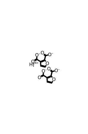 O=C([O-])c1ccoc1C(=O)[O-].O=C([O-])c1ccoc1C(=O)[O-].[Hf+4]